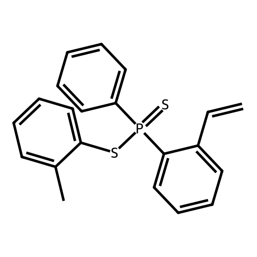 C=Cc1ccccc1P(=S)(Sc1ccccc1C)c1ccccc1